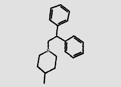 CC1CCN(CC(c2ccccc2)c2ccccc2)CC1